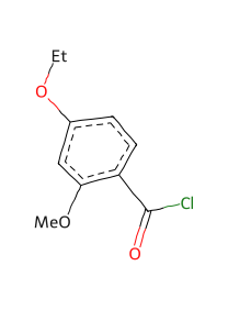 CCOc1ccc(C(=O)Cl)c(OC)c1